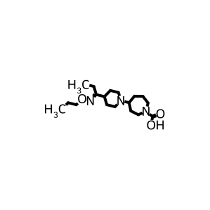 CCCON=C(CC)C1CCN(C2CCCN(C(=O)O)CC2)CC1